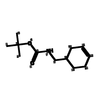 CC(C)(C)OC(=O)NCC1CC=CCC1